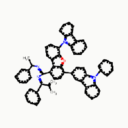 C=C(C)/C(=N\C(=N/C(C)c1ccccc1)c1ccc(-c2ccc3c(c2)c2ccccc2n3-c2ccccc2)c2oc3c(-n4c5ccccc5c5ccccc54)cccc3c12)c1ccccc1